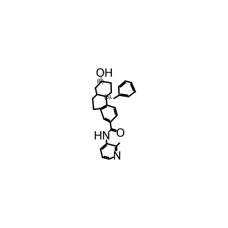 Cc1ncccc1NC(=O)c1ccc2c(c1)CCC1C[C@H](O)CC[C@@]21Cc1ccccc1